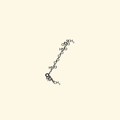 CCCCCc1cc2c(CCCCCNC(=O)CCOCCOCCOCCOCCNC(=O)CCN3C(=O)CC(SC)C3=O)cccc2nc1N